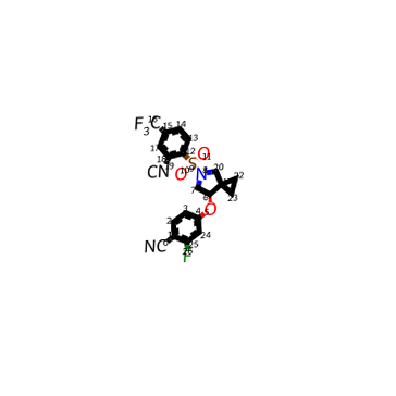 N#Cc1ccc(O[C@H]2CN(S(=O)(=O)c3ccc(C(F)(F)F)cc3C#N)CC23CC3)cc1F